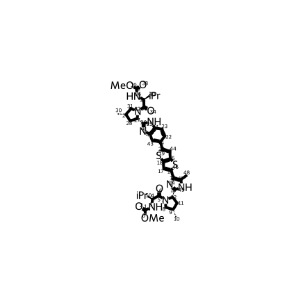 COC(=O)N[C@H](C(=O)N1C[C@@H](C)C[C@H]1c1nc(-c2cc3sc(-c4ccc5[nH]c([C@@H]6C[C@H](C)CN6C(=O)[C@@H](NC(=O)OC)C(C)C)nc5c4)cc3s2)c(C)[nH]1)C(C)C